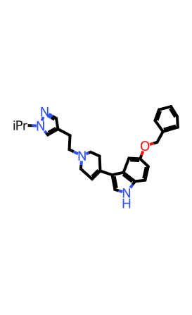 CC(C)n1cc(CCN2CC=C(c3c[nH]c4ccc(OCc5ccccc5)cc34)CC2)cn1